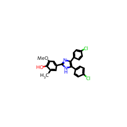 COc1cc(-c2nc(-c3ccc(Cl)cc3)c(-c3ccc(Cl)cc3)[nH]2)cc(C)c1O